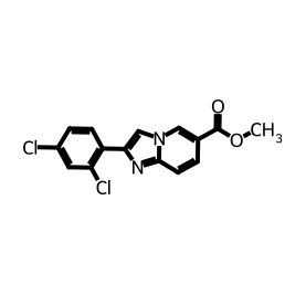 COC(=O)c1ccc2nc(-c3ccc(Cl)cc3Cl)cn2c1